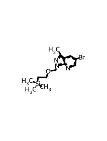 Cc1nn(COCC[Si](C)(C)C)c2ncc(Br)cc12